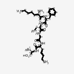 CCCC[C@H](NC(=O)[C@H](CCCCN)NC(=O)CNC(=O)[C@H](CC(C)C)NC(=O)[C@H](Cc1ccccc1)NC(=O)[C@@H](N)CCCCN)C(=O)O